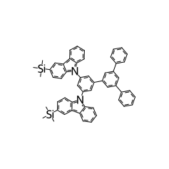 C[Si](C)(C)c1ccc2c(c1)c1ccccc1n2-c1cc(-c2cc(-c3ccccc3)cc(-c3ccccc3)c2)cc(-n2c3ccccc3c3cc([Si](C)(C)C)ccc32)c1